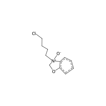 [O-][N+]1(CCCCCl)COc2ccccc21